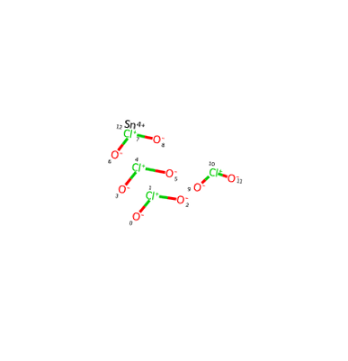 [O-][Cl+][O-].[O-][Cl+][O-].[O-][Cl+][O-].[O-][Cl+][O-].[Sn+4]